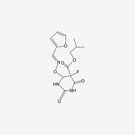 CC(C)COC(=O)C1(F)C(=O)NC(=O)NC1ON=Cc1ccco1